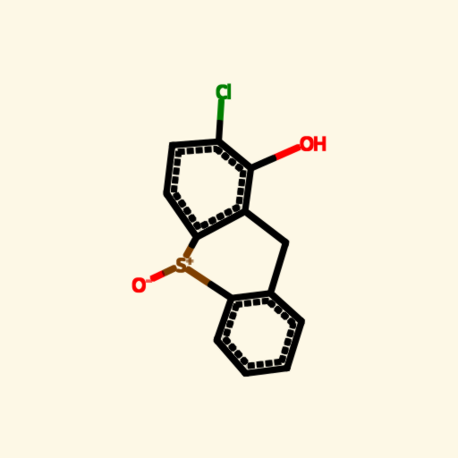 [O-][S+]1c2ccccc2Cc2c1ccc(Cl)c2O